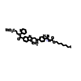 CCOC(=O)CCN(C(=O)c1ccc2c(c1)nc(CNc1ccc(/C(N)=N/C(=O)OCCCCCCI)cc1)n2C)c1ccccn1